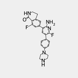 Nc1nc(F)c(-c2ccc(N3CCNCC3)cc2)cc1-c1cc(F)c2c(c1)CCNC2=O